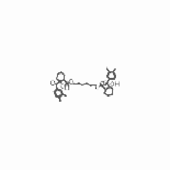 Cc1ccc(C(=O)C2(O)CCCCC2C(=O)OCCCCCCOC(=O)C2CCCCC2(O)C(=O)c2ccc(C)c(C)c2)cc1C